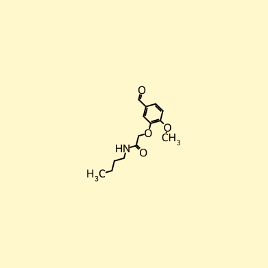 CCCCNC(=O)COc1cc(C=O)ccc1OC